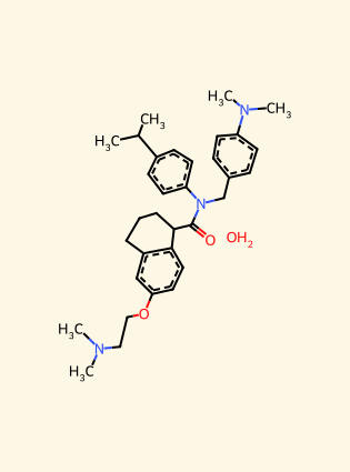 CC(C)c1ccc(N(Cc2ccc(N(C)C)cc2)C(=O)C2CCCc3cc(OCCN(C)C)ccc32)cc1.O